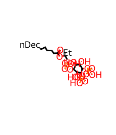 CCCCCCCCCCCCCCCC(=O)O[C@H](CC)COP(=O)(O)OC1C(O)[C@H](O)C(OP(=O)(O)O)[C@H](OP(=O)(O)O)[C@@H]1O